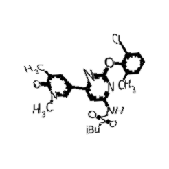 CC[C@H](C)S(=O)(=O)Nc1cc(-c2cc(C)c(=O)n(C)c2)nc(Oc2c(C)cccc2Cl)n1